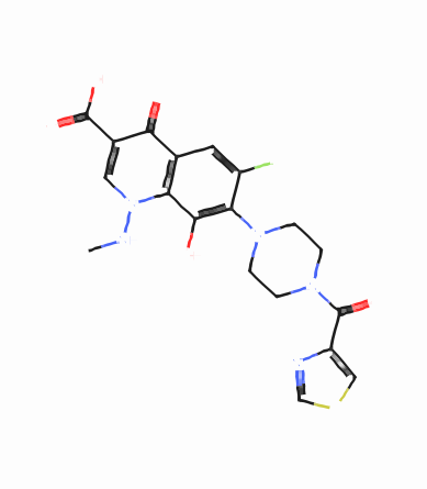 CNn1cc(C(=O)O)c(=O)c2cc(F)c(N3CCN(C(=O)c4cscn4)CC3)c(O)c21